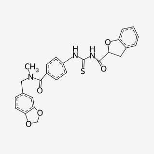 CN(Cc1ccc2c(c1)OCO2)C(=O)c1ccc(NC(=S)NC(=O)C2Cc3ccccc3O2)cc1